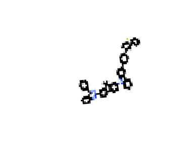 CC1(C)c2cc(-c3nc(-c4ccccc4)c4ccccc4n3)ccc2-c2ccc(-n3c4ccccc4c4cc(-c5ccc(-c6ccc7sc8ccccc8c7c6)cc5)ccc43)cc21